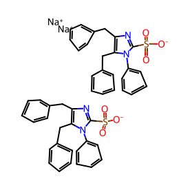 O=S(=O)([O-])c1nc(Cc2ccccc2)c(Cc2ccccc2)n1-c1ccccc1.O=S(=O)([O-])c1nc(Cc2ccccc2)c(Cc2ccccc2)n1-c1ccccc1.[Na+].[Na+]